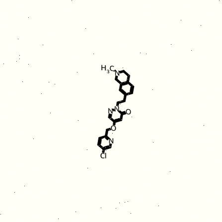 CN1CCc2ccc(CCn3ncc(OCc4ccc(Cl)cn4)cc3=O)cc2C1